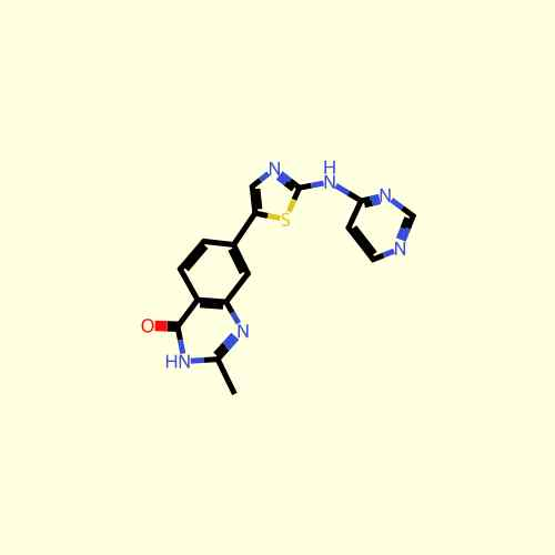 Cc1nc2cc(-c3cnc(Nc4ccncn4)s3)ccc2c(=O)[nH]1